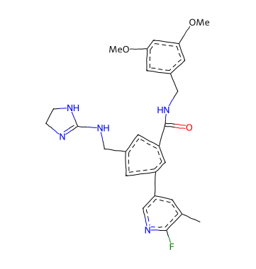 COc1cc(CNC(=O)c2cc(CNC3=NCCN3)cc(-c3cnc(F)c(C)c3)c2)cc(OC)c1